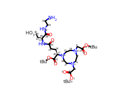 CC(C)(C)OC(=O)CN1CCN(CC(=O)OC(C)(C)C)CCN([C@H](CCC(=O)N[C@@H](CS(=O)(=O)O)C(=O)NCCN)C(=O)OC(C)(C)C)CC1